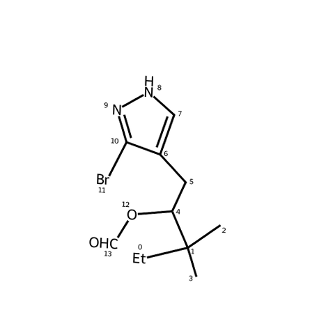 CCC(C)(C)C(Cc1c[nH]nc1Br)OC=O